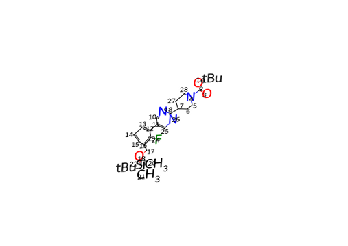 CC(C)(C)OC(=O)N1CCC(c2ncc(-c3cccc(CO[Si](C)(C)C(C)(C)C)c3F)cn2)CC1